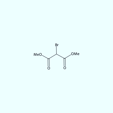 COC(=O)C(Br)C(=O)OC